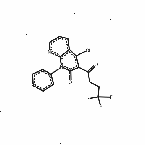 O=C(CCC(F)(F)F)c1c(O)c2cccnc2n(-c2ccccc2)c1=O